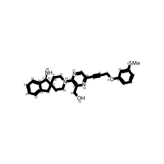 CSc1cccc(OCC#Cc2cnc(N3CCC4(CC3)Cc3ccccc3[C@H]4N)c(CO)n2)c1